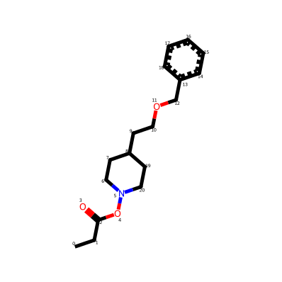 CCC(=O)ON1CCC(CCOCc2ccccc2)CC1